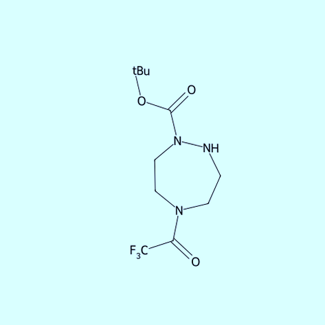 CC(C)(C)OC(=O)N1CCN(C(=O)C(F)(F)F)CCN1